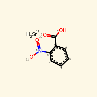 O=C(O)c1ccccc1[N+](=O)[O-].[SrH2]